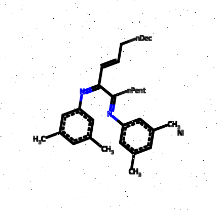 CCCCCCCCCCCC=CC(=Nc1cc(C)cc(C)c1)C(CCCCC)=Nc1cc(C)cc(C)c1.[Ni]